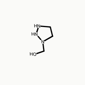 OCN1CCNN1